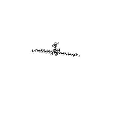 CCCCCCCCCCCCCCNC(=O)C(COC(=O)CCCCCCCCCCCCCC)NC(=O)CCCC(=O)O